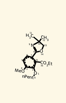 CCCCCOc1c(OC)ccc(C2=NC(C)(C)CO2)c1C(=O)OCC